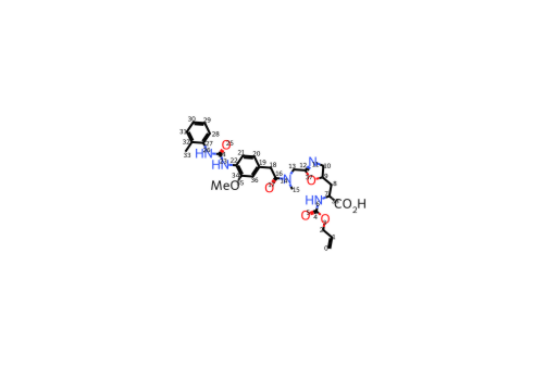 C=CCOC(=O)NC(CC1CN=C(CN(C)C(=O)Cc2ccc(NC(=O)Nc3ccccc3C)c(OC)c2)O1)C(=O)O